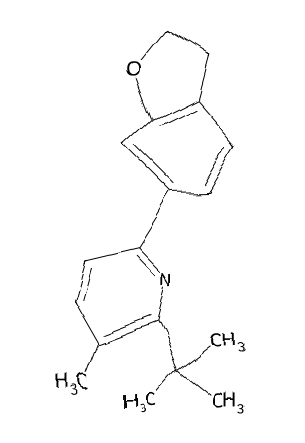 Cc1ccc(-c2ccc3c(c2)OCC3)nc1C(C)(C)C